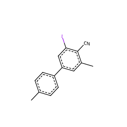 Cc1ccc(-c2cc(C)c(C#N)c(I)c2)cc1